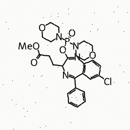 COC(=O)CCC1N=C(c2ccccc2)c2cc(Cl)ccc2N=C1OP(=O)(N1CCOCC1)N1CCOCC1